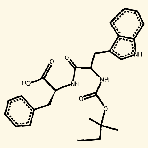 CCC(C)(C)OC(=O)NC(Cc1c[nH]c2ccccc12)C(=O)N[C@@H](Cc1ccccc1)C(=O)O